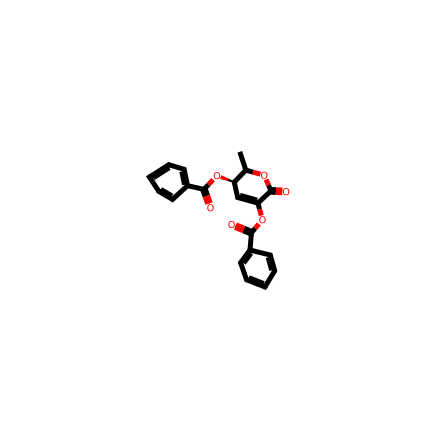 CC1OC(=O)C(OC(=O)c2ccccc2)=C[C@H]1OC(=O)c1ccccc1